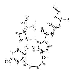 C=CC[C@H](C)C[SH](=O)=NC(=O)c1ccc2c(c1)N(C[C@@H]1CC[C@H]1[C@H](C=C)OC)Cc1ccc(Cl)cc1CCCCO2